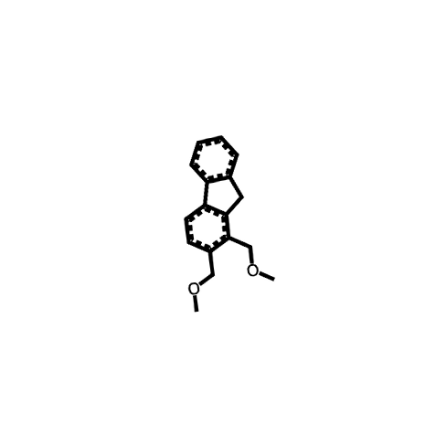 COCc1ccc2c(c1COC)Cc1ccccc1-2